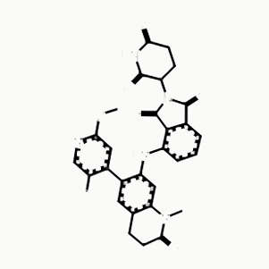 COc1cc(-c2cc3c(cc2Nc2cccc4c2C(=O)N(C2CCC(=O)NC2=O)C4=O)N(C)C(=O)CC3)c(F)cn1